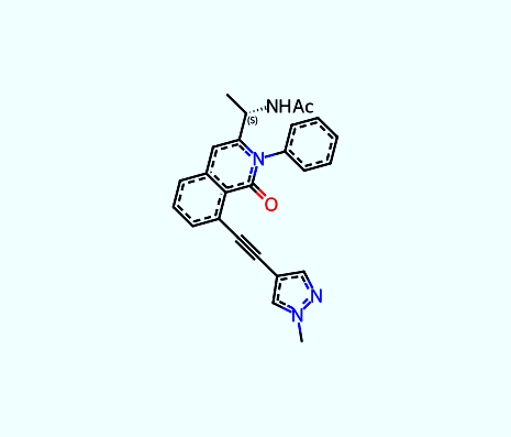 CC(=O)N[C@@H](C)c1cc2cccc(C#Cc3cnn(C)c3)c2c(=O)n1-c1ccccc1